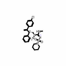 C=C(c1ccc(Cl)cc1)[C@H](CN(N)/C(=N\S(=O)(=O)N1CCCCC1)NC)c1ccccc1